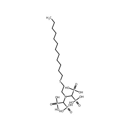 CCCCCCCCCCCCSCCN(C(P(=O)(O)O)P(=O)(O)O)C(P(=O)(O)O)P(=O)(O)O